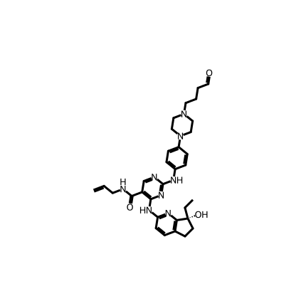 C=CCNC(=O)c1cnc(Nc2ccc(N3CCN(CCCC=O)CC3)cc2)nc1Nc1ccc2c(n1)[C@@](O)(CC)CC2